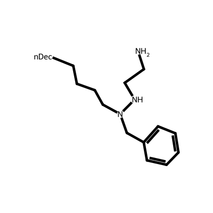 CCCCCCCCCCCCCCN(Cc1ccccc1)NCCN